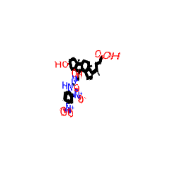 C[C@H](CCC(=O)O)[C@H]1CCC2C3C(CC[C@@]21C)[C@@]1(C)CC[C@H](O)C[C@@]1(O)[C@@H]3/C=N/CNc1ccc([N+](=O)[O-])cc1[N+](=O)[O-]